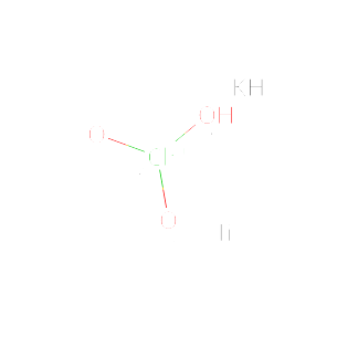 [KH].[O-][Cl+2]([O-])O.[Ti]